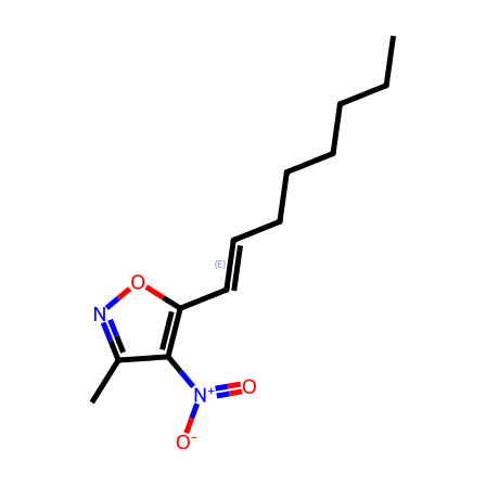 CCCCCC/C=C/c1onc(C)c1[N+](=O)[O-]